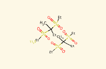 CCC(C)(S(=O)(=O)CC)S(=O)(=O)CC.CCC(C)(S(=O)(=O)CC)S(=O)(=O)CC.S